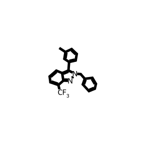 Cc1cccc(-c2c3cccc(C(F)(F)F)c3nn2Cc2ccccc2)c1